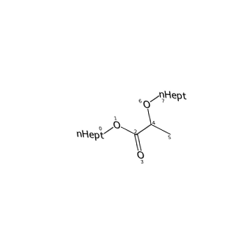 CCCCCCCOC(=O)C(C)OCCCCCCC